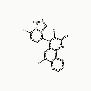 O=c1[nH]c2c(cc(Br)c3nccnc32)c(-c2ccc(F)c3[nH]ncc23)c1Cl